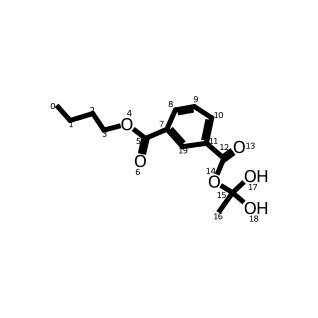 CCCCOC(=O)c1cccc(C(=O)OC(C)(O)O)c1